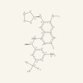 COc1cc2nc(C)nc(N[C@H](C)c3cc(N)cc(C(F)(F)F)c3)c2cc1O[C@H]1CCOC1